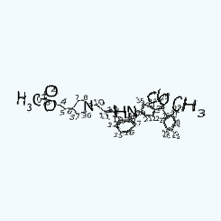 CC(=O)OCCC1CCN(CC=Cc2ccccc2Nc2ccc(C(=O)c3ccccc3C)c(Cl)c2)CC1